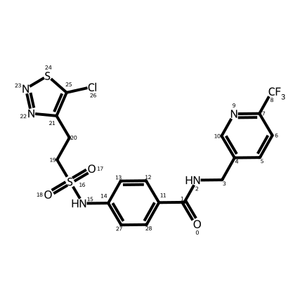 O=C(NCc1ccc(C(F)(F)F)nc1)c1ccc(NS(=O)(=O)CCc2nnsc2Cl)cc1